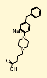 O=C(O)CCCN1CCN(c2ccc(Cc3ccccc3)cc2)CC1.[NaH]